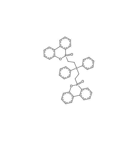 O=P1(CCS(CCP2(=O)Oc3ccccc3-c3ccccc32)(c2ccccc2)c2ccccc2)Oc2ccccc2-c2ccccc21